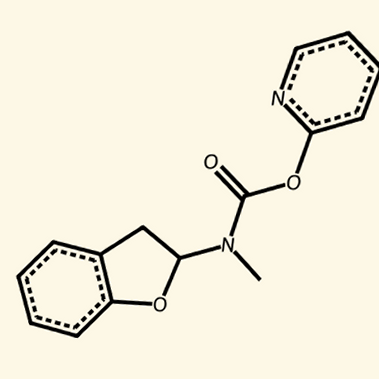 CN(C(=O)Oc1ccccn1)C1Cc2ccccc2O1